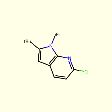 CC(C)n1c(C(C)(C)C)cc2ccc(Cl)nc21